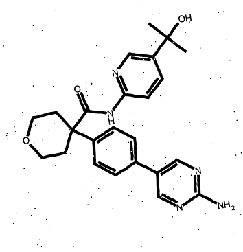 CC(C)(O)c1ccc(NC(=O)C2(c3ccc(-c4cnc(N)nc4)cc3)CCOCC2)nc1